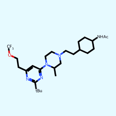 CC(=O)NC1CCC(CCN2CCN(c3cc(CCOC(F)(F)F)nc(C(C)(C)C)n3)C(C)C2)CC1